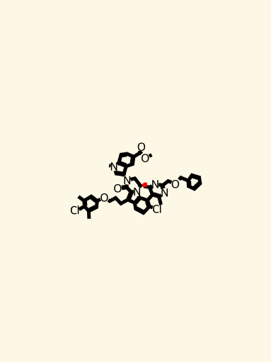 COC(=O)c1ccc2c(c1)c(N1C[C@@H](C)n3c(c(CCCOc4cc(C)c(Cl)c(C)c4)c4ccc(Cl)c(-c5c(C)nc(COCc6ccccc6)nc5C)c43)C1=O)cn2C